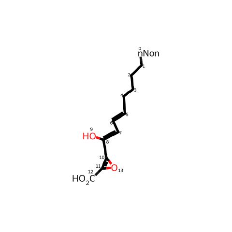 CCCCCCCCCCCCCC=CC=C(O)C1=C(C(=O)O)O1